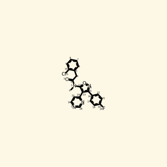 CN(C(=O)Cc1ccccc1Cl)c1onc(-c2ccc(F)cc2)c1-c1ccncn1